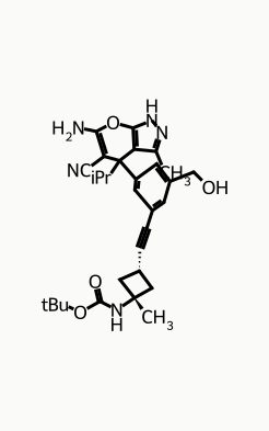 Cc1n[nH]c2c1C(c1cc(C#C[C@H]3C[C@@](C)(NC(=O)OC(C)(C)C)C3)cc(CO)c1)(C(C)C)C(C#N)=C(N)O2